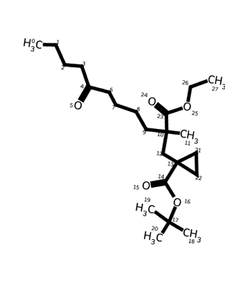 CCCCC(=O)CCCCC(C)(CC1(C(=O)OC(C)(C)C)CC1)C(=O)OCC